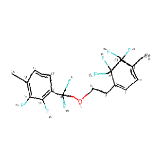 CCC1=CC=C(CCOC(F)(F)c2ccc(C)c(F)c2F)C(F)(F)C1(F)F